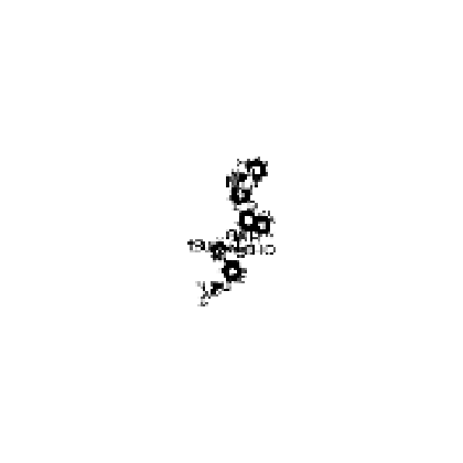 C[C@@H]1CCC[C@H](C)N1c1nnc2ccc(O[C@@H]3CC[C@H](NC(=O)N(OC=O)c4cc(C(C)(C)C)nn4-c4ccc(F)c(OCCN(C)C)c4)c4ccccc43)cn12